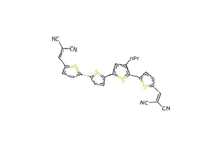 CCCc1cc(-c2ccc(-c3ccc(C=C(C#N)C#N)s3)s2)sc1-c1ccc(C=C(C#N)C#N)s1